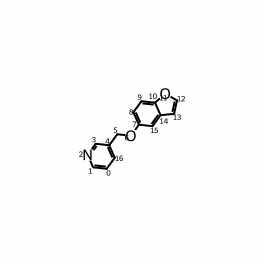 c1cncc(COc2ccc3occc3c2)c1